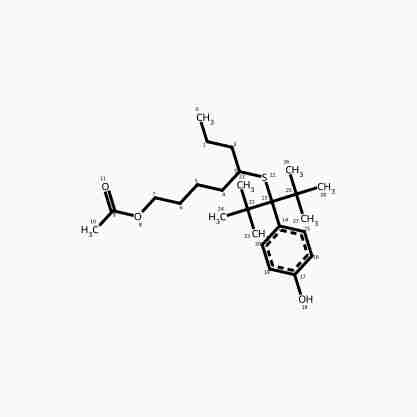 CCCC(CCCCOC(C)=O)SC(c1ccc(O)cc1)(C(C)(C)C)C(C)(C)C